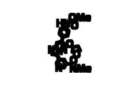 CNC(=O)c1cncc(-c2cnc3cc(-c4ccc(NC(=O)OC)cc4)c(OC4CCOC4)nn23)c1